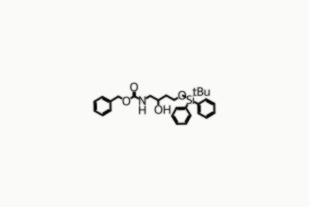 CC(C)(C)[Si](OCCC(O)CNC(=O)OCc1ccccc1)(c1ccccc1)c1ccccc1